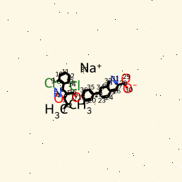 CC(C)c1onc(-c2c(Cl)cccc2Cl)c1COc1ccc(-c2ccc3cc(C(=O)[O-])ncc3c2)cc1.[Na+]